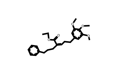 CCOC(=O)C(=CCCc1cc(OC)c(OC)c(OC)c1)CCCc1ccccc1